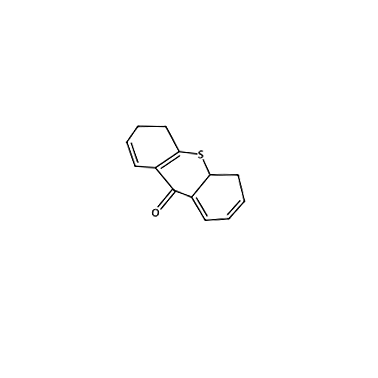 O=C1C2=CC=CCC2SC2=C1C=CCC2